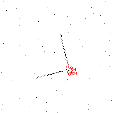 CCCCCCCCCCCCCCCCCCOC(=O)C(O)(CCCCCCCCCCCCCCCCCC)C(O)C(=O)O